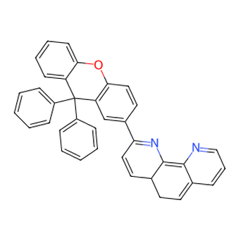 C1=CC2CC=c3cccnc3=C2N=C1c1ccc2c(c1)C(c1ccccc1)(c1ccccc1)c1ccccc1O2